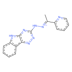 C/C(=N\Nc1nnc2c(n1)[nH]c1ccccc12)c1ccccn1